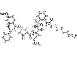 C=CC1CC1(NC(=O)C1CC(Oc2cc(-c3ccccc3)nc3cc(OC)ccc23)CN1)C(=O)NS(=O)(=O)c1ccccc1NC(=O)CCCCCCC(=O)O